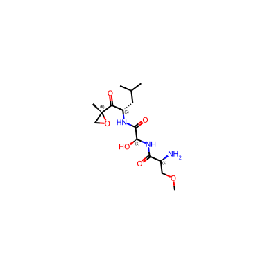 COC[C@H](N)C(=O)N[C@@H](O)C(=O)N[C@@H](CC(C)C)C(=O)[C@@]1(C)CO1